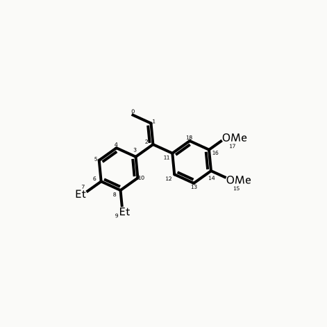 C/C=C(\c1ccc(CC)c(CC)c1)c1ccc(OC)c(OC)c1